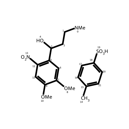 CNCCC(O)c1cc(OC)c(OC)cc1[N+](=O)[O-].Cc1ccc(S(=O)(=O)O)cc1